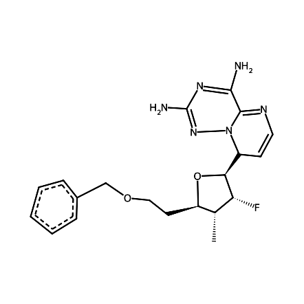 C[C@H]1[C@@H](F)[C@H](C2C=CN=C3C(N)=NC(N)=NN32)O[C@@H]1CCOCc1ccccc1